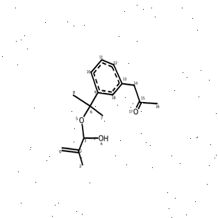 C=C(C)C(O)OC(C)(C)c1cccc(CC(C)=O)c1